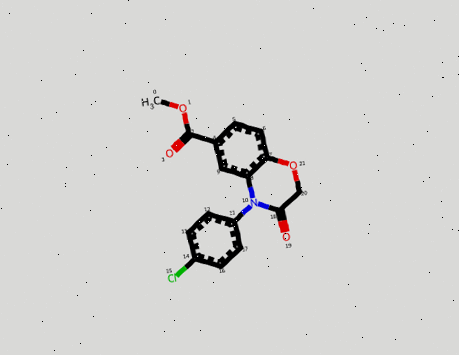 COC(=O)c1ccc2c(c1)N(c1ccc(Cl)cc1)C(=O)CO2